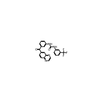 O=C(Nc1cccc(C(=O)c2ccc3nccnc3c2)c1)Nc1cccc(C(F)(F)F)c1